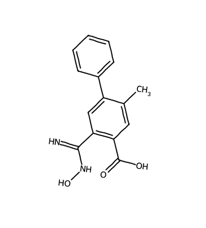 Cc1cc(C(=O)O)c(C(=N)NO)cc1-c1ccccc1